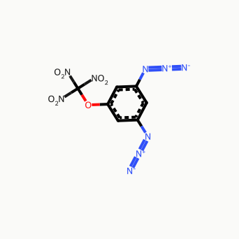 [N-]=[N+]=Nc1cc(N=[N+]=[N-])cc(OC([N+](=O)[O-])([N+](=O)[O-])[N+](=O)[O-])c1